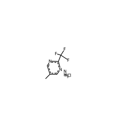 Cc1cnc(C(F)(F)F)nc1.Cl.N